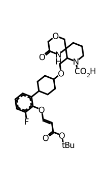 CC(C)(C)OC(=O)/C=C/Oc1c(F)cccc1C1CCC(OCC2N(C(=O)O)CCCC23COCC(=O)N3)CC1